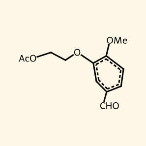 COc1ccc(C=O)cc1OCCOC(C)=O